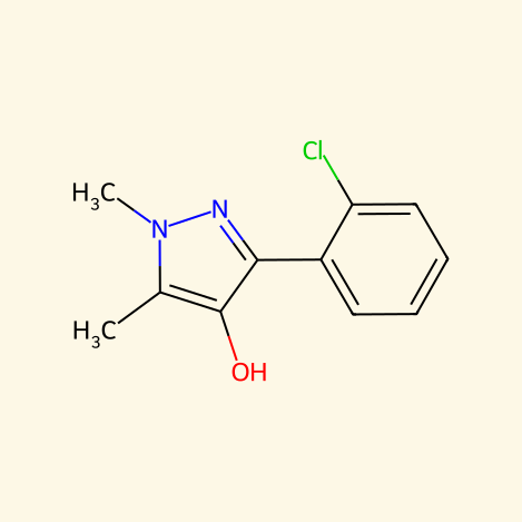 Cc1c(O)c(-c2ccccc2Cl)nn1C